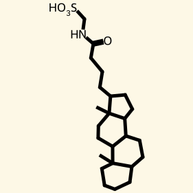 CC12CCCCC1CCC1C2CCC2(C)C(CCCC(=O)NCS(=O)(=O)O)CCC12